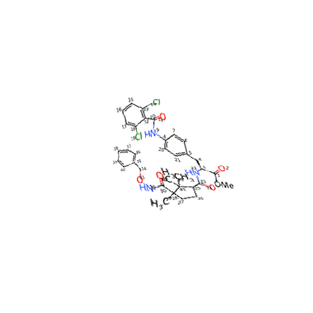 COC(=O)[C@H](Cc1ccc(NC(=O)c2c(Cl)cccc2Cl)cc1)NC(=O)C1CCC(C)(C(=O)NOCc2ccccc2)C1(C)C